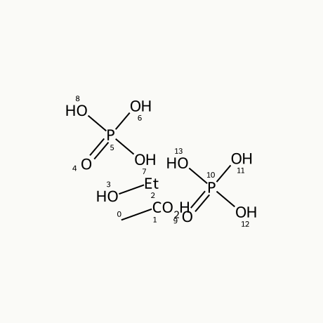 CC(=O)O.CCO.O=P(O)(O)O.O=P(O)(O)O